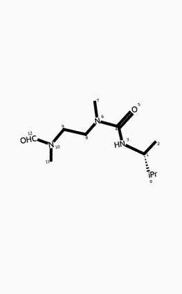 CC(C)[C@@H](C)NC(=O)N(C)CCN(C)C=O